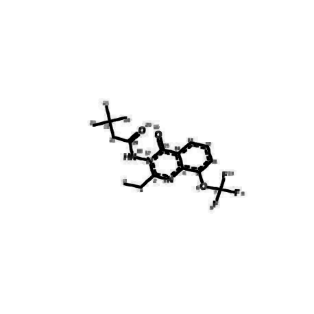 CCc1nc2c(OC(F)(F)F)cccc2c(=O)n1NC(=O)CC(C)(C)C